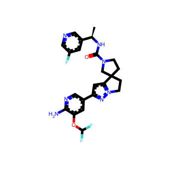 C[C@@H](NC(=O)N1CCC2(CCn3nc(-c4cnc(N)c(OC(F)F)c4)cc32)C1)c1cncc(F)c1